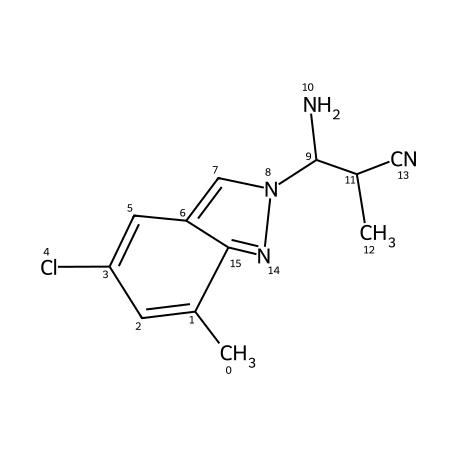 Cc1cc(Cl)cc2cn(C(N)C(C)C#N)nc12